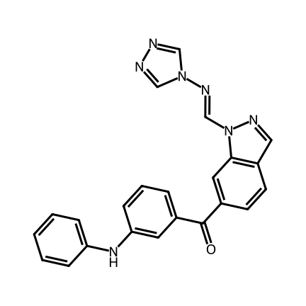 O=C(c1cccc(Nc2ccccc2)c1)c1ccc2cnn(C=Nn3cnnc3)c2c1